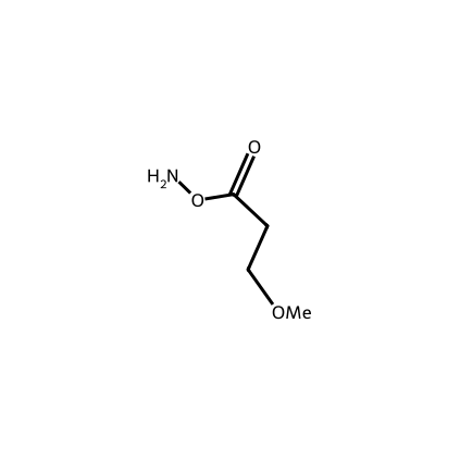 COCCC(=O)ON